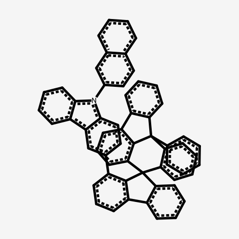 c1ccc(C23c4ccccc4-c4cccc(c42)C2(c4ccccc4-c4cccc(-c5ccc6c(c5)c5ccccc5n6-c5ccc6ccccc6c5)c42)c2ccccc23)cc1